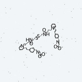 O=C([O-])C=NCc1ccc(C=Cc2cccc[n+]2CCCC(=O)NCCSSCCNC(=O)CCC[n+]2ccccc2C=Cc2ccc(CN=CC(=O)[O-])cc2)cc1